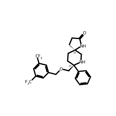 O=C1CC[C@]2(CC[C@@](COCc3cc(C(F)(F)F)cc(C(F)(F)F)c3)(c3ccccc3)NC2)N1